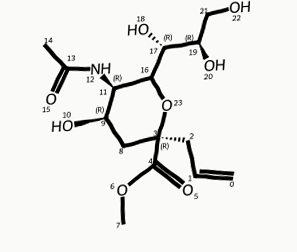 C=CC[C@]1(C(=O)OC)C[C@@H](O)[C@@H](NC(C)=O)C([C@H](O)[C@H](O)CO)O1